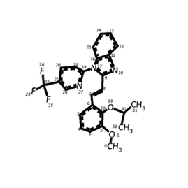 COc1cccc(C=Cc2nc3ccccc3n2-c2ccc(C(F)(F)F)cn2)c1OC(C)C